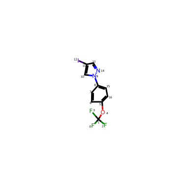 FC(F)(F)Oc1ccc(-n2cc(I)cn2)cc1